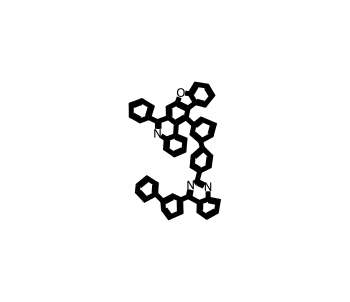 c1ccc(-c2cccc(-c3nc(-c4ccc(-c5cccc(-c6c7c(cc8c(-c9ccccc9)nc9ccccc9c68)oc6ccccc67)c5)cc4)nc4ccccc34)c2)cc1